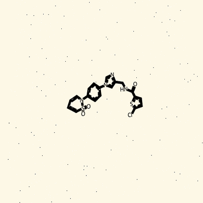 O=C(NCc1cn(-c2ccc(N3C=CC=CS3(=O)=O)cc2)cn1)c1ccc(Cl)s1